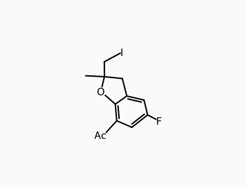 CC(=O)c1cc(F)cc2c1OC(C)(CI)C2